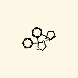 OC1(c2ccccc2C2(c3ccccc3)OCCO2)C=CCC1